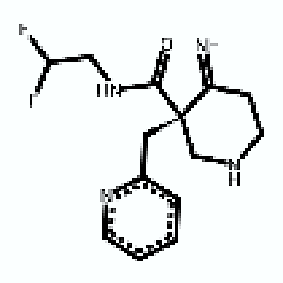 N=C1CCNC[C@]1(Cc1ccccn1)C(=O)NCC(F)F